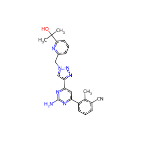 Cc1c(C#N)cccc1-c1cc(-c2cn(Cc3cccc(C(C)(C)O)n3)nn2)nc(N)n1